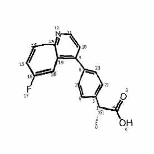 C[C@@H](C(=O)O)c1ccc(-c2ccnc3ccc(F)cc23)cc1